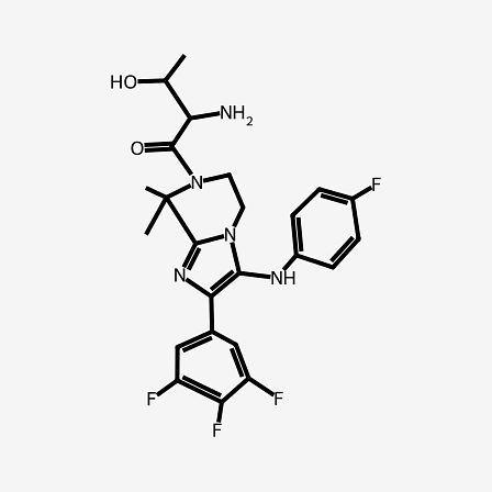 CC(O)C(N)C(=O)N1CCn2c(nc(-c3cc(F)c(F)c(F)c3)c2Nc2ccc(F)cc2)C1(C)C